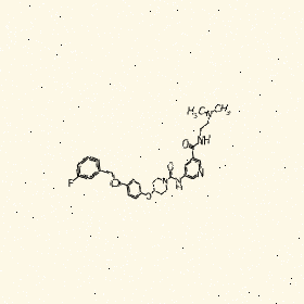 CN(C)CCNC(=O)c1cncc(NC(=O)N2CCC(Oc3ccc(OCc4cccc(F)c4)cc3)CC2)c1